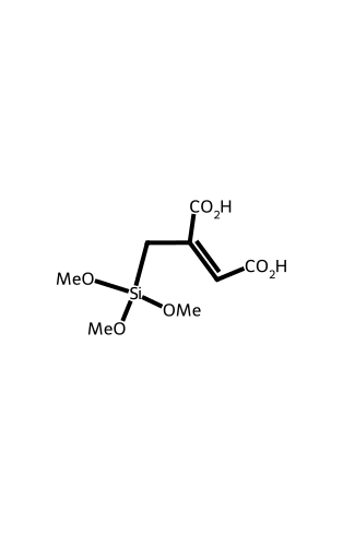 CO[Si](CC(=CC(=O)O)C(=O)O)(OC)OC